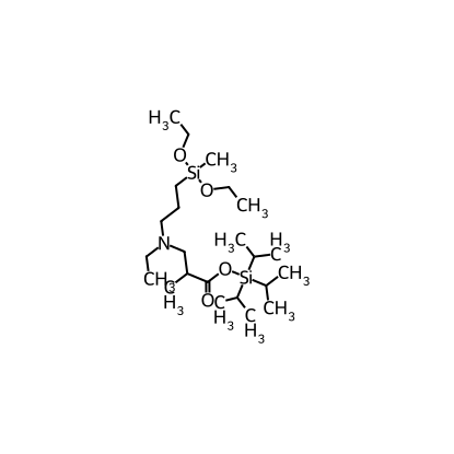 CCO[Si](C)(CCCN(CC)CC(C)C(=O)O[Si](C(C)C)(C(C)C)C(C)C)OCC